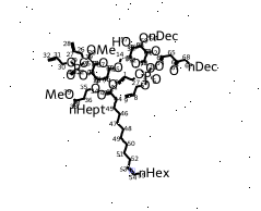 C=CCOP(=O)(OCC=C)O[C@H]1O[C@H](CO[C@@H]2O[C@H](COC)[C@@H](OP(=O)(OCC=C)OCC=C)[C@H](OCC[C@@H](CCCCCCC)OC)[C@H]2OC(=O)CCCCCCCCC/C=C\CCCCCC)[C@@H](O)[C@H](OCCCCCCCCCC)[C@H]1OC(=O)CC(=O)CCCCCCCCCCC